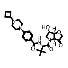 CC(C)(C)[C@H](NC(=O)c1ccc(N2CCN(C3CCC3)CC2)cc1)C(=O)N1C[C@@H](O)[C@H]2OCC(=O)[C@H]21